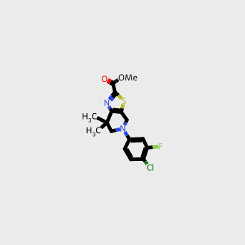 COC(=O)c1nc2c(s1)CN(c1ccc(Cl)c(F)c1)CC2(C)C